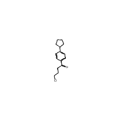 O=C(CCCCl)c1ccc(C2CCCC2)cc1